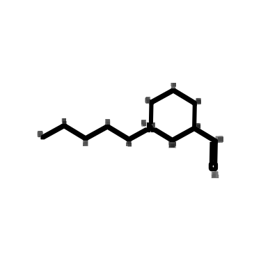 CCCCCN1CCCC(C=O)C1